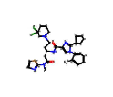 CN(C(=O)C[C@H](CCN1CCCC(F)(F)C1)NC(=O)c1cn(-c2ccccc2C(F)(F)F)c(C2CCCC2)n1)c1nccs1